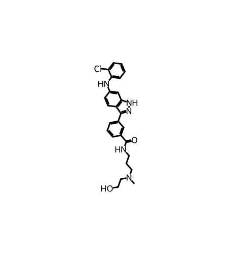 CN(CCO)CCCNC(=O)c1cccc(-c2n[nH]c3cc(Nc4ccccc4Cl)ccc23)c1